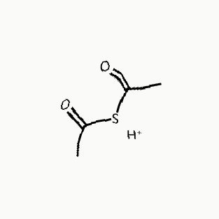 CC(=O)SC(C)=O.[H+]